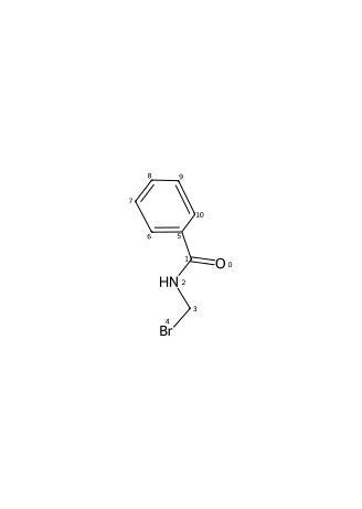 O=C(NCBr)c1ccccc1